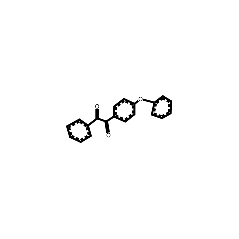 O=C(C(=O)c1ccc(Oc2ccccc2)cc1)c1ccccc1